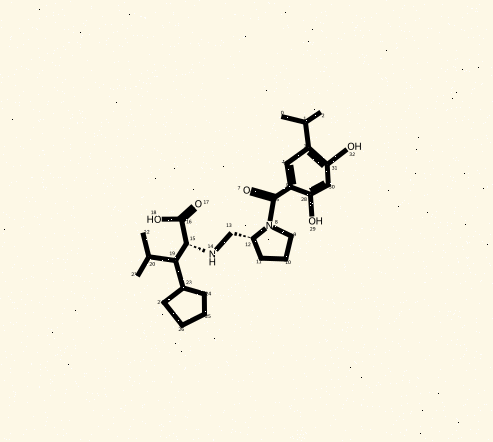 CC(C)c1cc(C(=O)N2CCC[C@@H]2CN[C@@H](C(=O)O)C(C(C)C)C2CCCC2)c(O)cc1O